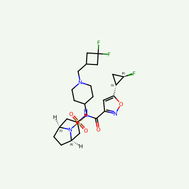 O=C(NC1C[C@H]2CC[C@@H](C1)N2S(=O)(=O)CC1CCN(CC2CC(F)(F)C2)CC1)c1cc([C@@H]2C[C@H]2F)on1